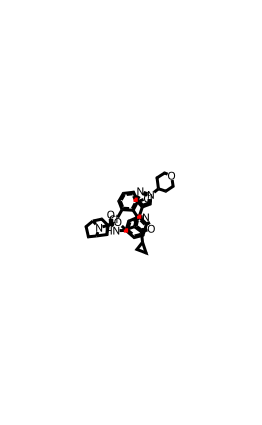 O=C(Nc1cccc(-c2cnn(C3CCOCC3)c2)c1)N1C2CCC1CC(OCc1c(-c3c(Cl)cccc3Cl)noc1C1CC1)C2